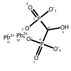 O=P([O-])([O-])C(O)P(=O)([O-])[O-].[Pb+2].[Pb+2]